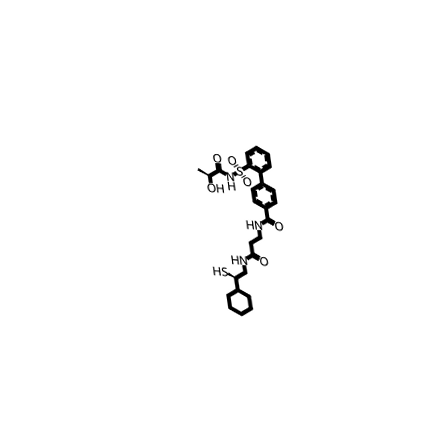 C[C@H](O)C(=O)NS(=O)(=O)c1ccccc1-c1ccc(C(=O)NCCC(=O)NC[C@H](S)C2CCCCC2)cc1